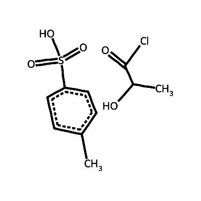 CC(O)C(=O)Cl.Cc1ccc(S(=O)(=O)O)cc1